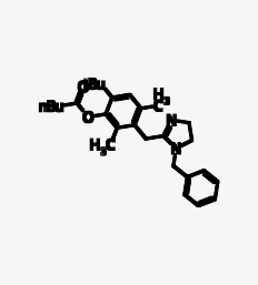 CCCCC(=O)Oc1c(C(C)(C)C)cc(C)c(CC2=NCCN2Cc2ccccc2)c1C